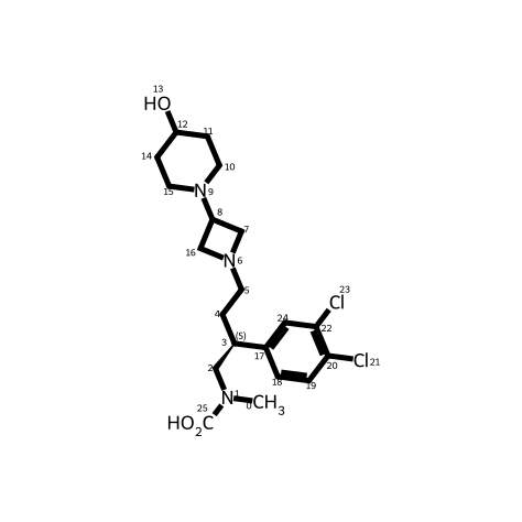 CN(C[C@@H](CCN1CC(N2CCC(O)CC2)C1)c1ccc(Cl)c(Cl)c1)C(=O)O